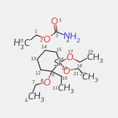 CCOC(N)=O.CCOC1(CC)CCCC[Si]1(OCC)OCC